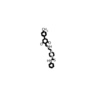 Cc1ccc(C2CC(=O)C(=CNCCN3CCN(C(=S)Nc4ccccc4)CC3)C(=O)C2)cc1